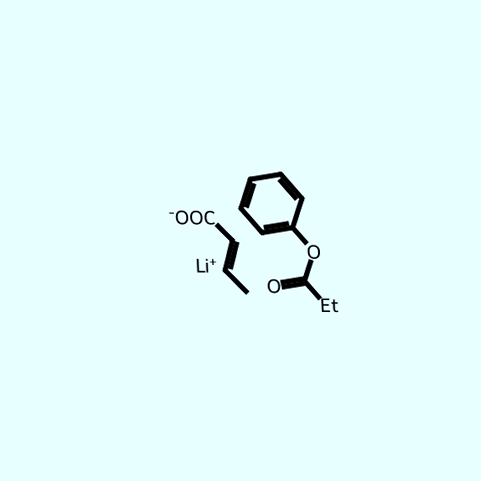 C/C=C/C(=O)[O-].CCC(=O)Oc1ccccc1.[Li+]